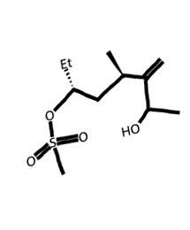 C=C(C(C)O)[C@H](C)C[C@@H](CC)OS(C)(=O)=O